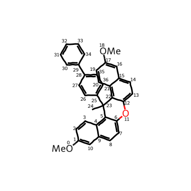 COc1ccc2c3c(ccc2c1)Oc1ccc2cc(OC)ccc2c1C3(C)c1ccc(-c2ccccc2)cc1